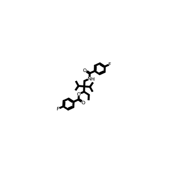 CCC(OC(=O)c1ccc(F)cc1)C(CNC(=O)c1ccc(F)cc1)(C(C)C)C(C)C